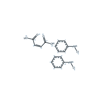 ClNc1ccccc1.ClNc1ccccc1.O=C(O)/C=C\C(=O)O